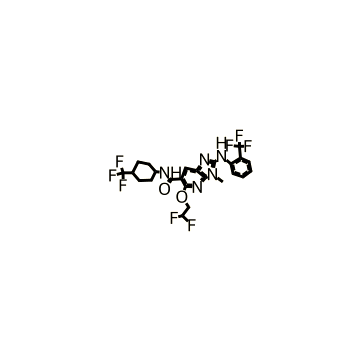 Cn1c(Nc2ccccc2C(F)(F)F)nc2cc(C(=O)NC3CCC(C(F)(F)F)CC3)c(OCC(F)F)nc21